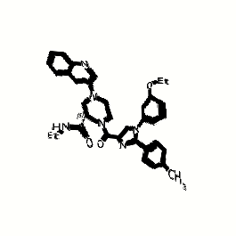 CCNC(=O)[C@@H]1CN(c2cnc3ccccc3c2)CCN1C(=O)c1cn(-c2cccc(OCC)c2)c(-c2ccc(C)cc2)n1